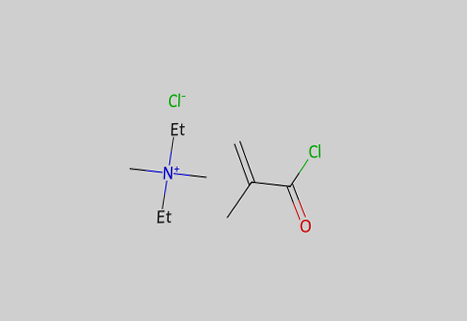 C=C(C)C(=O)Cl.CC[N+](C)(C)CC.[Cl-]